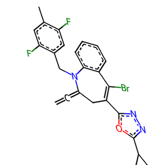 C=C=C1CC(c2nnc(C3CC3)o2)=C(Br)c2ccccc2N1Cc1cc(F)c(C)cc1F